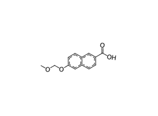 COCOc1ccc2cc(C(=O)O)ccc2c1